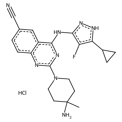 CC1(N)CCN(c2nc(Nc3n[nH]c(C4CC4)c3F)c3cc(C#N)ccc3n2)CC1.Cl